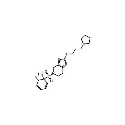 CC1C=CC=CC1(O)S(=O)(=O)N1CCc2cc(OCCCN3CCCC3)sc2C1